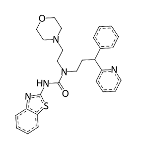 O=C(Nc1nc2ccccc2s1)N(CCC(c1ccccc1)c1ccccn1)CCN1CCOCC1